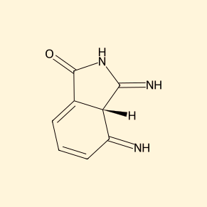 N=C1C=CC=C2C(=O)NC(=N)[C@H]12